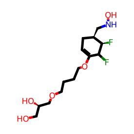 OC[C@@H](O)COCCCCOC1=CC[C@@H](CNO)[C@@H](F)C1F